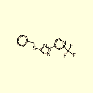 FC(F)(F)c1cc(-n2ncc(SCc3ccccc3)n2)ccn1